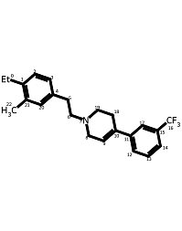 CCc1ccc(CCN2CC=C(c3cccc(C(F)(F)F)c3)CC2)cc1C